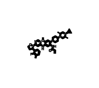 C=CC(=O)Nc1cc(Nc2cc(N3OCCC3c3cccc(C)c3F)ncn2)c(OC)cc1N1CCC(N2C[C@H](C)N(C3CC3)C[C@@H]2C)CC1